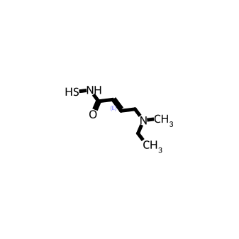 CCN(C)C/C=C/C(=O)NS